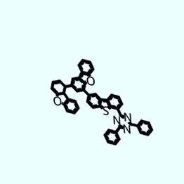 C1=CC(c2cc(-c3ccc4sc5c(-c6nc(-c7ccccc7)nc(-c7ccccc7)n6)cccc5c4c3)c3oc4ccccc4c3c2)C2C(=C1)Oc1ccccc12